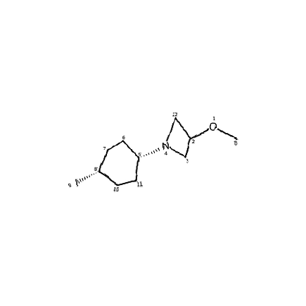 COC1CN([C@H]2CC[C@@H](I)CC2)C1